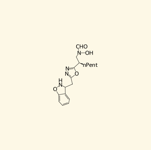 CCCCC[C@H](CN(O)C=O)c1nnc(CC2NOc3ccccc32)o1